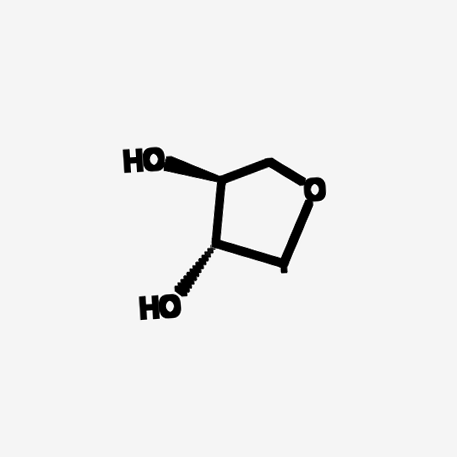 O[C@H]1[CH]OC[C@@H]1O